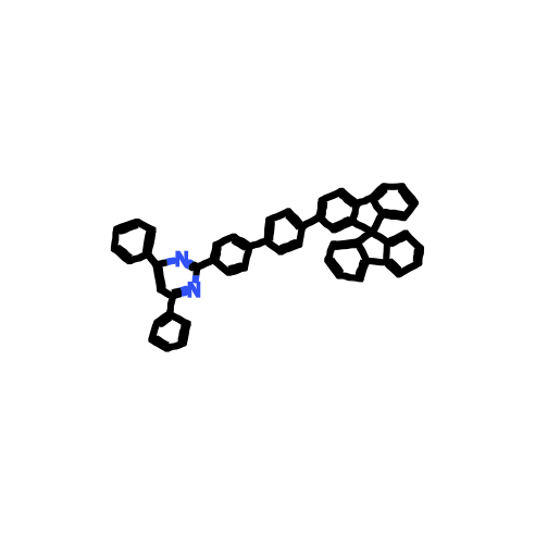 c1ccc(-c2cc(-c3ccccc3)nc(-c3ccc(-c4ccc(-c5ccc6c(c5)C5(c7ccccc7-c7ccccc75)c5ccccc5-6)cc4)cc3)n2)cc1